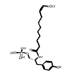 CCCCCCCC/C=C\CCCCCCCC(=O)N[C@@H](CO[PH](O)(O)O)Cc1ccc(O)cc1